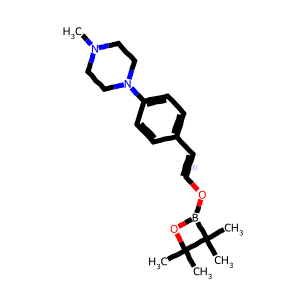 CN1CCN(c2ccc(/C=C/OB3OC(C)(C)C3(C)C)cc2)CC1